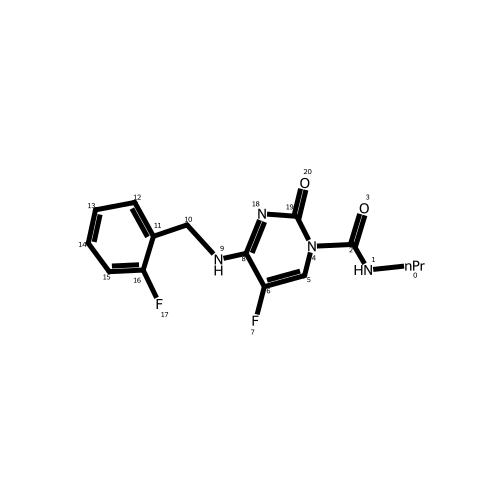 CCCNC(=O)n1cc(F)c(NCc2ccccc2F)nc1=O